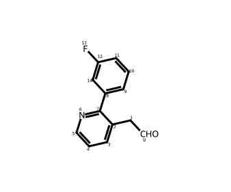 O=CCc1cccnc1-c1cccc(F)c1